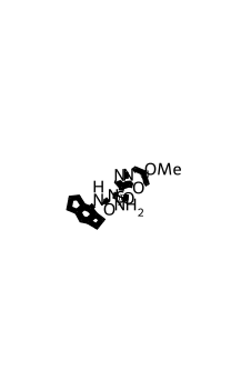 CO[C@@H]1COc2c([S@](N)(=O)=NC(=O)Nc3c4c(cc5c3CC5)CCC4)cnn2C1